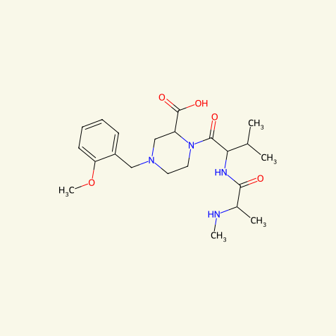 CNC(C)C(=O)NC(C(=O)N1CCN(Cc2ccccc2OC)CC1C(=O)O)C(C)C